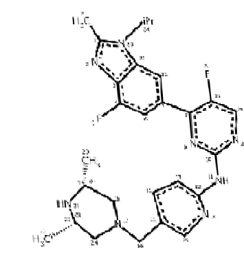 Cc1nc2c(F)cc(-c3nc(Nc4ccc(CN5C[C@@H](C)N[C@@H](C)C5)cn4)ncc3F)cc2n1C(C)C